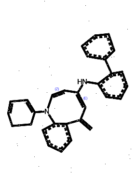 C=C1/C=C(Nc2ccccc2-c2ccccc2)\C=C/N(C2=CC=CCC2)c2ccccc21